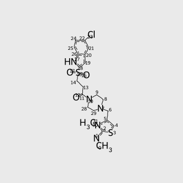 C/N=c1\scc(CN2CCN(C(=O)CCS(=O)(=O)c3cc4cc(Cl)ccc4[nH]3)CC2)n1C